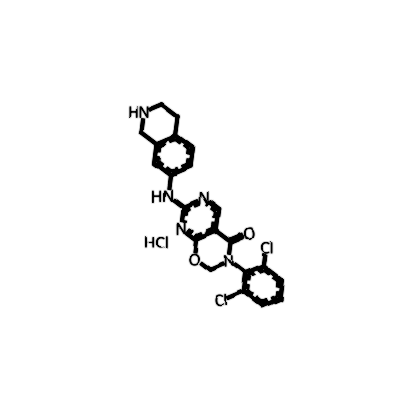 Cl.O=C1c2cnc(Nc3ccc4c(c3)CNCC4)nc2OCN1c1c(Cl)cccc1Cl